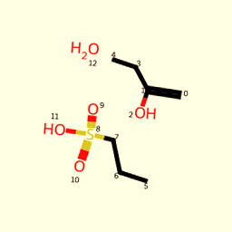 C=C(O)CC.CCCS(=O)(=O)O.O